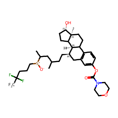 CC(CC[C@@H]1Cc2cc(OC(=O)N3CCOCC3)ccc2C2CC[C@@]3(C)C(CC[C@@H]3O)[C@@H]21)CC(C)[S+]([O-])CCCC(F)(F)C(F)(F)F